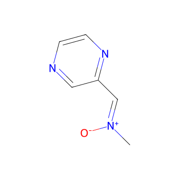 C[N+]([O-])=Cc1cnccn1